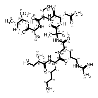 C[C@@H](O)[C@H](NC(=O)[C@@H](NC(=O)[C@H](CS)NC(=O)[C@H](CC(N)=O)NC(=O)C(C)(C)NC(=O)[C@H](CCCNC(=N)N)NC(=O)[C@H](CCCCN)NC(=O)[C@@H](N)CS)C(C)(C)C)C(=O)O